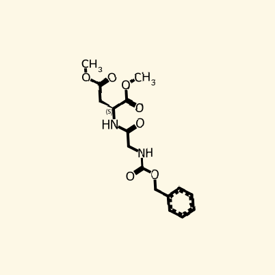 COC(=O)C[C@H](NC(=O)CNC(=O)OCc1ccccc1)C(=O)OC